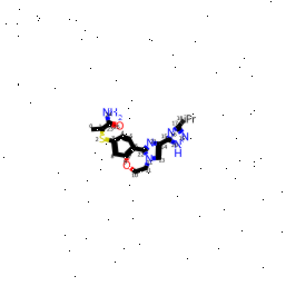 CC(Sc1ccc2c(c1)OCCn1cc(-c3nc(C(C)C)n[nH]3)nc1-2)C(N)=O